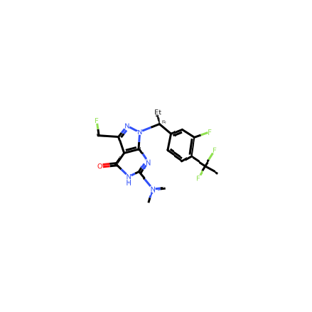 CC[C@@H](c1ccc(C(C)(F)F)c(F)c1)n1nc(CF)c2c(=O)[nH]c(N(C)C)nc21